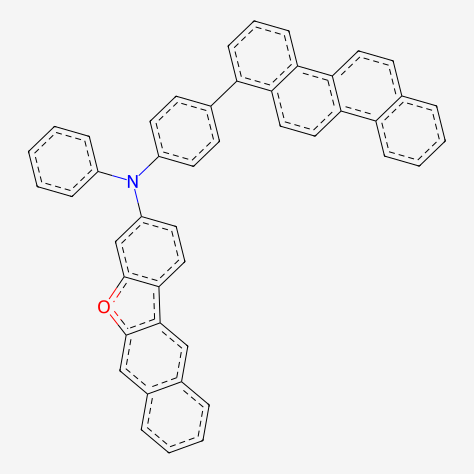 c1ccc(N(c2ccc(-c3cccc4c3ccc3c5ccccc5ccc43)cc2)c2ccc3c(c2)oc2cc4ccccc4cc23)cc1